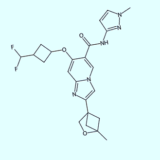 Cn1ccc(NC(=O)c2cn3cc(C45COC(C)(C4)C5)nc3cc2OC2CC(C(F)F)C2)n1